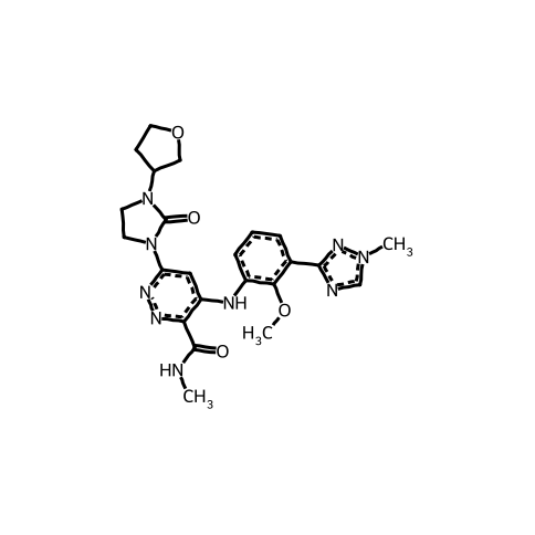 CNC(=O)c1nnc(N2CCN(C3CCOC3)C2=O)cc1Nc1cccc(-c2ncn(C)n2)c1OC